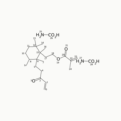 C=CC(=O)CCC1(C)C(C)CCC(C)(C)C1(C)CCOC(=O)C(=C)C.NC(=O)O.NC(=O)O